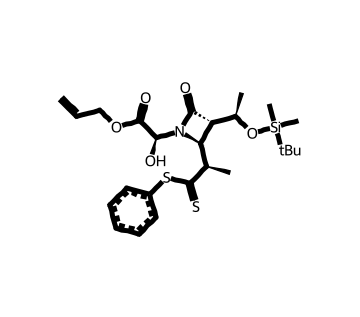 C=CCOC(=O)[C@H](O)N1C(=O)[C@H]([C@@H](C)O[Si](C)(C)C(C)(C)C)[C@H]1[C@@H](C)C(=S)Sc1ccccc1